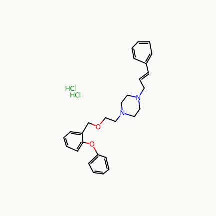 C(=Cc1ccccc1)CN1CCN(CCOCc2ccccc2Oc2ccccc2)CC1.Cl.Cl